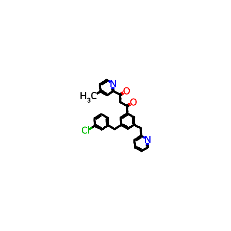 Cc1ccnc(C(=O)CC(=O)c2cc(Cc3cccc(Cl)c3)cc(Cc3ccccn3)c2)c1